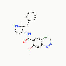 C/N=N\c1cc(OC)c(C(=O)NC2CCNC2(C)Cc2ccccc2)cc1Cl